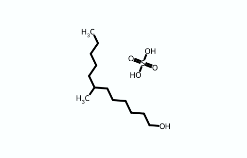 CCCCCC(C)CCCCCCO.O=S(=O)(O)O